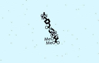 COC(=O)c1csc(S(=O)(=O)N2CCN(C(=O)Cc3ccc(-c4noc(C)n4)cc3)CC2)c1OC